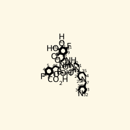 O=C(O)c1c(F)ccc2c1OB(O)[C@@H](NC(=O)[C@H](NC(=O)N1CCN(C3CCN(Cc4ccncc4)CC3)C1=O)c1cc(F)c(O)c(O)c1Cl)C2